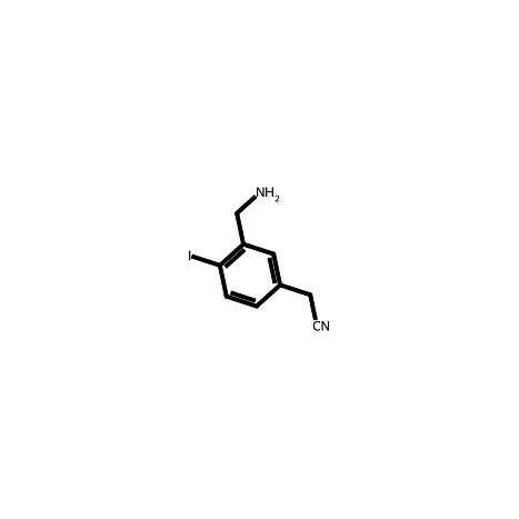 N#CCc1ccc(I)c(CN)c1